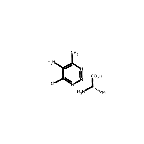 CC(C)[C@H](N)C(=O)O.Nc1nnnc(Cl)c1N